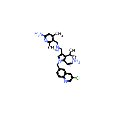 CCC(C#N)c1c(CNCc2c(C)cc(N)nc2C)cn(Cc2ccc3ncc(Cl)cc3c2)c1/C=C\N